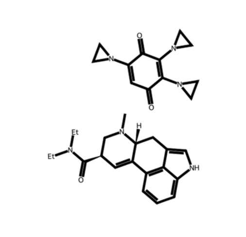 CCN(CC)C(=O)[C@@H]1C=C2c3cccc4[nH]cc(c34)C[C@H]2N(C)C1.O=C1C=C(N2CC2)C(=O)C(N2CC2)=C1N1CC1